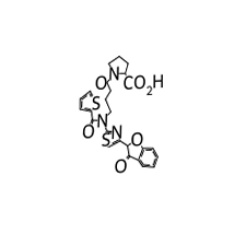 O=C1c2ccccc2OC1c1csc(N(CCCC(=O)N2CCCC2C(=O)O)C(=O)c2cccs2)n1